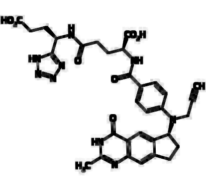 C#CCN(c1ccc(C(=O)N[C@@H](CCC(=O)N[C@H](CCC(=O)O)c2nnn[nH]2)C(=O)O)cc1)[C@H]1CCc2cc3nc(C)[nH]c(=O)c3cc21